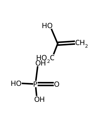 C=C(O)C(=O)O.O=P(O)(O)O